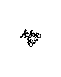 CCCC(C)(CC)CN(C(C)(CC)CC(C)(CC)C(=O)OC)C(C)(CC)CC(C)(CC)C(=O)OC